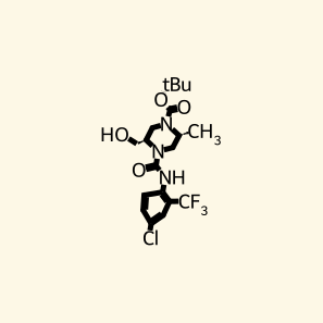 C[C@@H]1CN(C(=O)Nc2ccc(Cl)cc2C(F)(F)F)[C@H](CO)CN1C(=O)OC(C)(C)C